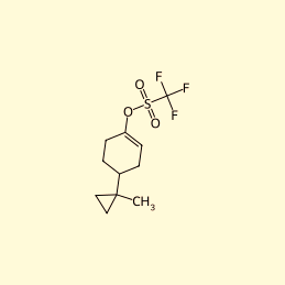 CC1(C2CC=C(OS(=O)(=O)C(F)(F)F)CC2)CC1